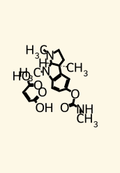 CNC(=O)Oc1ccc2c(c1)[C@]1(C)CCN(C)[C@@H]1N2C.O=C(O)/C=C\C(=O)O